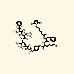 CNC(C(=O)NC(C(=O)N(C)C(/C=C(\C)C(=O)NS(=O)(=O)Cc1ccc(NC(=O)C(CCCCN)NC(=O)C(Cc2ccccc2)NC(=O)CCCCCN2C(=O)C=CC2=O)cc1)C(C)C)C(C)(C)C)C(C)(C)c1ccccc1